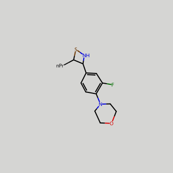 CCCC1SNC1c1ccc(N2CCOCC2)c(F)c1